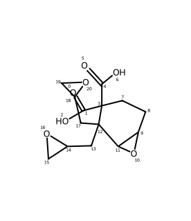 O=C(O)C1(C(=O)O)CCC2OC2C1(CC1CO1)CC1CO1